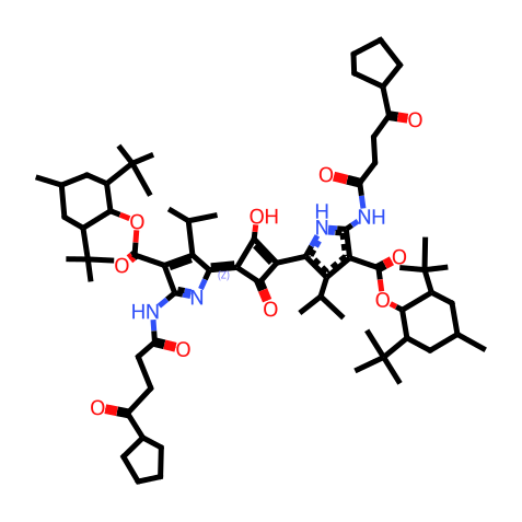 CC1CC(C(C)(C)C)C(OC(=O)C2=C(C(C)C)/C(=C3/C(=O)C(c4[nH]c(NC(=O)CCC(=O)C5CCCC5)c(C(=O)OC5C(C(C)(C)C)CC(C)CC5C(C)(C)C)c4C(C)C)=C3O)N=C2NC(=O)CCC(=O)C2CCCC2)C(C(C)(C)C)C1